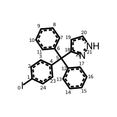 Ic1ccc(C(c2ccccc2)(c2ccccc2)c2cc[nH]n2)cc1